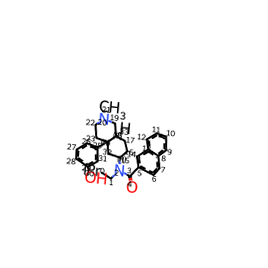 CC(C)CN(C(=O)c1ccc2ccccc2c1)[C@@H]1CC[C@@H]2CN(C)CC[C@@]2(c2cccc(O)c2)C1